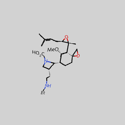 CCNCC[C@@H]1CN(C(=O)O)C1[C@H]1CCC2(CO2)[C@@H]([C@@]2(C)O[C@@H]2CC=C(C)C)[C@H]1OC